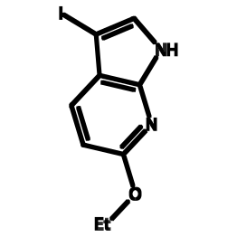 CCOc1ccc2c(I)c[nH]c2n1